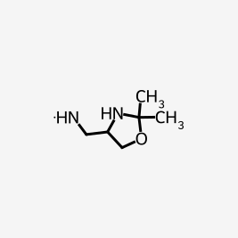 CC1(C)NC(C[NH])CO1